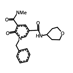 CNC(=O)c1cc(C(=O)NC2CCOCC2)cn(Cc2ccccc2)c1=O